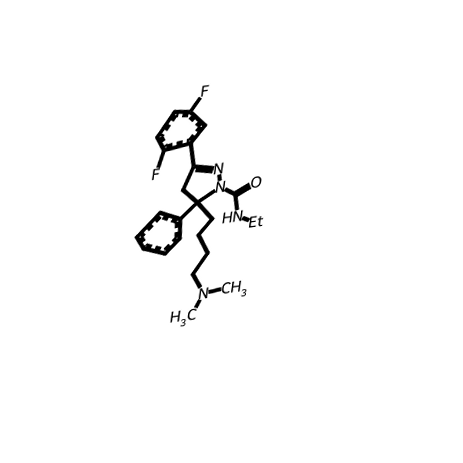 CCNC(=O)N1N=C(c2cc(F)ccc2F)CC1(CCCCN(C)C)c1ccccc1